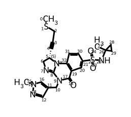 CSCC#C[C@H]1CN=C2N(Cc3cnn(C)c3)C(=O)c3cc(S(=O)(=O)NC4(C)CC4)ccc3N21